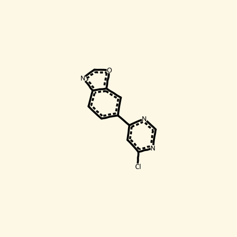 Clc1cc(-c2ccc3ncoc3c2)ncn1